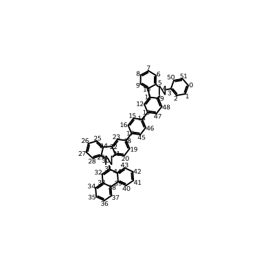 c1ccc(-n2c3ccccc3c3cc(-c4ccc(-c5ccc6c(c5)c5ccccc5n6-c5cc6ccccc6c6ccccc56)cc4)ccc32)cc1